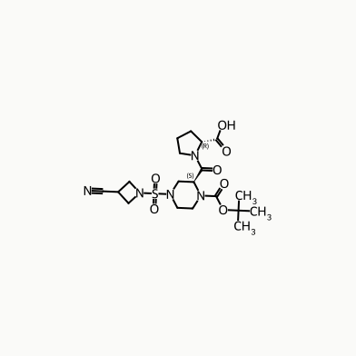 CC(C)(C)OC(=O)N1CCN(S(=O)(=O)N2CC(C#N)C2)C[C@H]1C(=O)N1CCC[C@@H]1C(=O)O